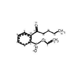 C=CO[PH](=O)c1ccccc1C(=O)CCCC